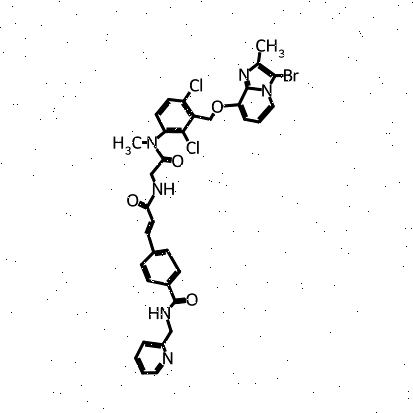 Cc1nc2c(OCc3c(Cl)ccc(N(C)C(=O)CNC(=O)C=Cc4ccc(C(=O)NCc5ccccn5)cc4)c3Cl)cccn2c1Br